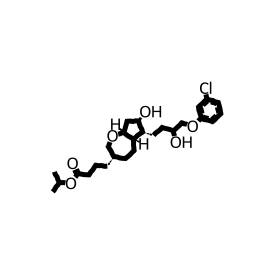 CC(C)OC(=O)CCC[C@H]1CC[C@@H]2[C@@H](CCC(O)COc3cccc(Cl)c3)[C@H](O)C[C@@H]2OC1